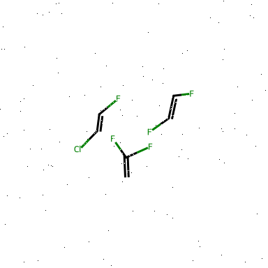 C=C(F)F.FC=CCl.FC=CF